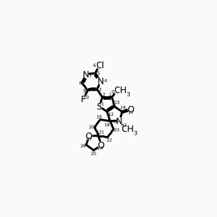 Cc1c(-c2nc(Cl)ncc2F)sc2c1C(=O)N(C)C21CCC2(CC1)OCCO2